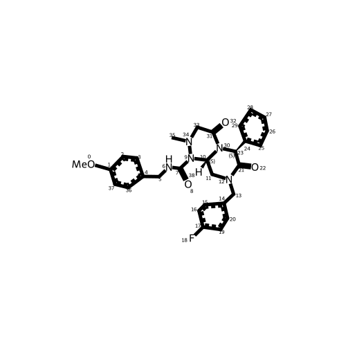 COc1ccc(CNC(=O)N2[C@H]3CN(Cc4ccc(F)cc4)C(=O)[C@H](c4ccccc4)N3C(=O)CN2C)cc1